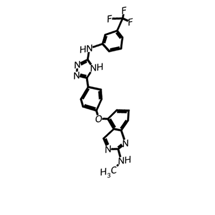 CNc1ncc2c(Oc3ccc(-c4nnc(Nc5cccc(C(F)(F)F)c5)[nH]4)cc3)cccc2n1